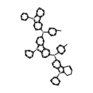 Cc1ccc(N(c2ccc3c(c2)c2c(n3-c3ccccc3)CCC=C2)c2ccc3c(c2)c2cc(N(c4ccc(C)cc4)c4ccc5c(c4)c4ccccc4n5-c4ccccc4)ccc2n3-c2ccccc2)cc1